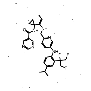 CC=C(NCc1ccc(Nc2ccc(C(C)C)cc2C(F)(CF)CF)cn1)C1(NC(=O)c2cncnc2)CC1